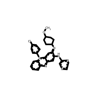 COC1CCC(N=c2cc3n(-c4ccc(Cl)cc4)c4ccccc4nc-3cc2Nc2cnccn2)CC1